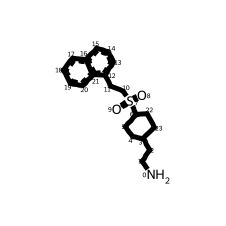 NCCC1CCC(S(=O)(=O)CCc2cccc3ccccc23)CC1